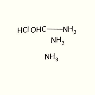 Cl.N.N.NC=O